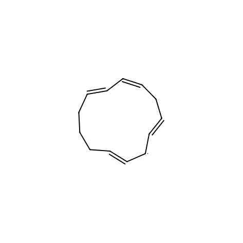 [CH]1/C=C/C/C=C\C=C\CCC/C=C/1